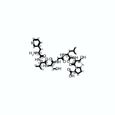 CC(C)C[C@H](NC(=O)CNC(=O)[C@H](CO)NC(=O)[C@@H](NC(=O)[C@@H](N)Cc1cccnc1)C(C)C)C(=O)N[C@H](C(=O)N1CCC[C@H]1C(=O)O)[C@@H](C)O